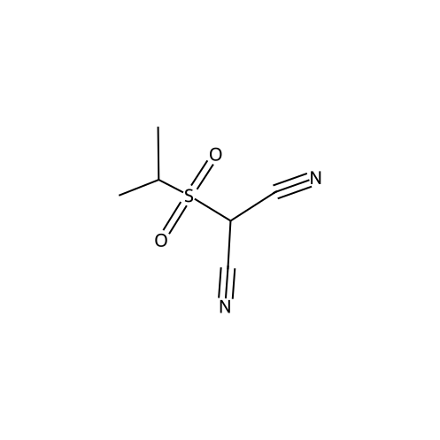 CC(C)S(=O)(=O)C(C#N)C#N